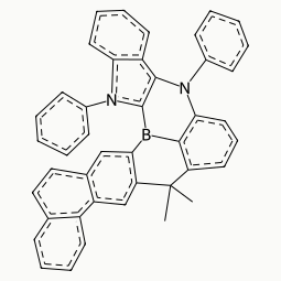 CC1(C)c2cc3c(ccc4ccccc43)cc2B2c3c(cccc31)N(c1ccccc1)c1c2n(-c2ccccc2)c2ccccc12